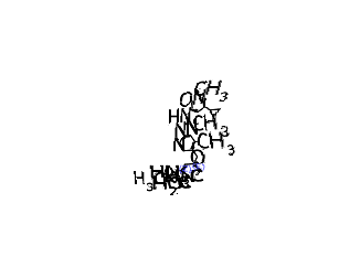 C=N/C(=C\C(=C/C)Oc1cnc2nc(Nc3cc(C4CC4)cn(C)c3=O)n(C)c2c1C)NC(C)=O